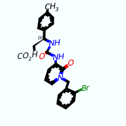 Cc1ccc([C@H](CC(=O)O)NC(=O)Nc2cccn(Cc3ccccc3Br)c2=O)cc1